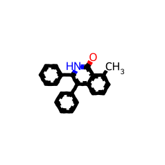 Cc1cccc2c(-c3ccccc3)c(-c3ccccc3)[nH]c(=O)c12